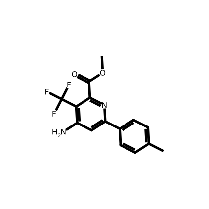 COC(=O)c1nc(-c2ccc(C)cc2)cc(N)c1C(F)(F)F